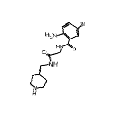 Nc1ccc(Br)cc1C(=O)NCC(=O)NCC1CCNCC1